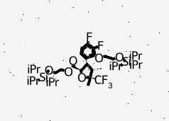 CC(C)[Si](OCCOC(=O)[C@@H]1O[C@@](C)(C(F)(F)F)[C@@H](C)[C@H]1c1ccc(F)c(F)c1OCCO[Si](C(C)C)(C(C)C)C(C)C)(C(C)C)C(C)C